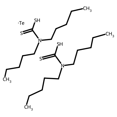 CCCCCN(CCCCC)C(=S)S.CCCCCN(CCCCC)C(=S)S.[Te]